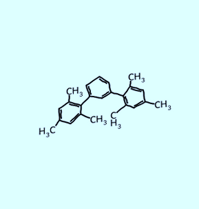 Cc1cc(C)c(-c2cccc(-c3c(C)cc(C)cc3C)c2)c(C)c1